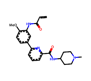 C=CC(=O)Nc1cc(-c2cccc(C(=O)NC3CCN(C)CC3)n2)ccc1OC